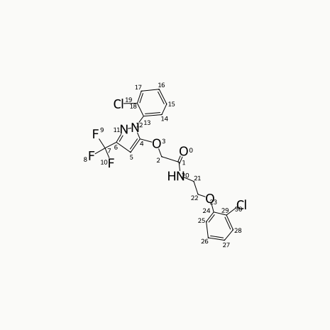 O=C(COc1cc(C(F)(F)F)nn1-c1ccccc1Cl)NCCOc1ccccc1Cl